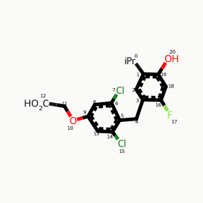 CC(C)c1cc(Cc2c(Cl)cc(OCC(=O)O)cc2Cl)c(F)cc1O